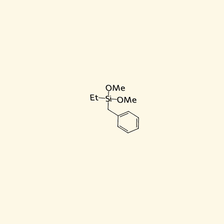 CC[Si](Cc1ccccc1)(OC)OC